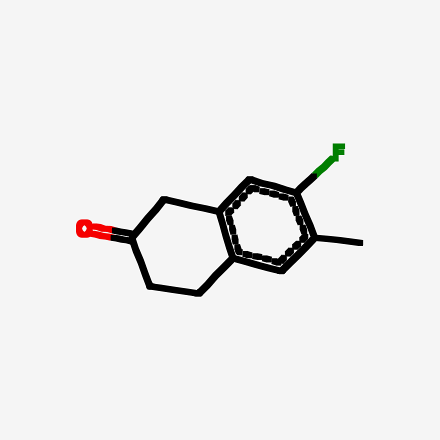 Cc1cc2c(cc1F)CC(=O)CC2